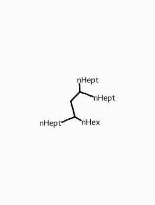 CCCCCCCC(CCCCCC)CC(CCCCCCC)CCCCCCC